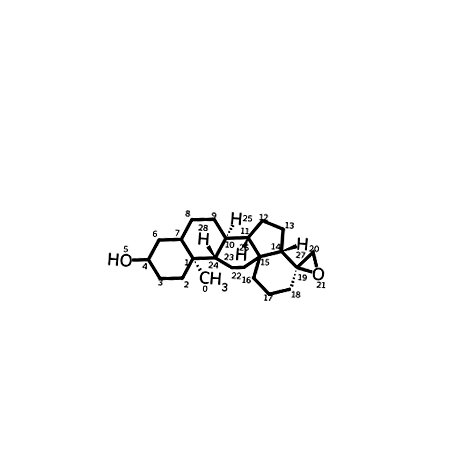 C[C@]12CCC(O)CC1CC[C@H]1[C@@H]3CC[C@H]4C3(CCC[C@@]43CO3)CC[C@@H]12